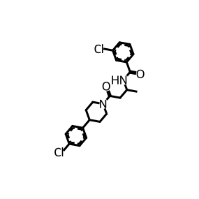 CC(CC(=O)N1CCC(c2ccc(Cl)cc2)CC1)NC(=O)c1cccc(Cl)c1